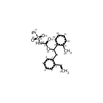 C=Cc1ccccc1CC(OC(=O)NS(=O)(=O)C(C)C)c1ccccc1C